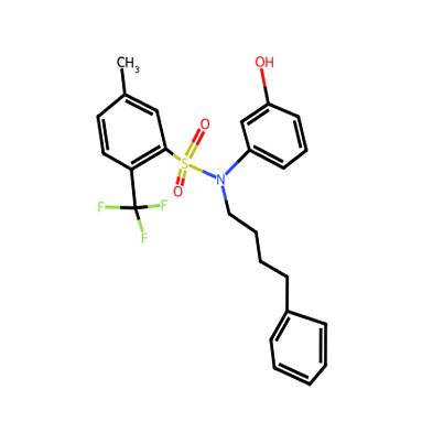 Cc1ccc(C(F)(F)F)c(S(=O)(=O)N(CCCCc2ccccc2)c2cccc(O)c2)c1